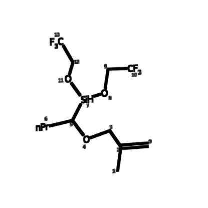 C=C(C)COC(CCC)[SiH](OCC(F)(F)F)OCC(F)(F)F